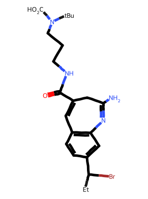 CCC(Br)c1ccc2c(c1)N=C(N)CC(C(=O)NCCCN(C(=O)O)C(C)(C)C)=C2